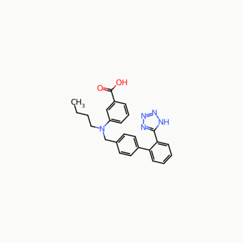 CCCCN(Cc1ccc(-c2ccccc2-c2nnn[nH]2)cc1)c1cccc(C(=O)O)c1